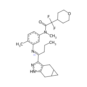 CCC/C(=N\c1cc(N(C)C(=O)C(F)(F)C2CCOCC2)ccc1C)c1n[nH]c2c1CC1CC1C2